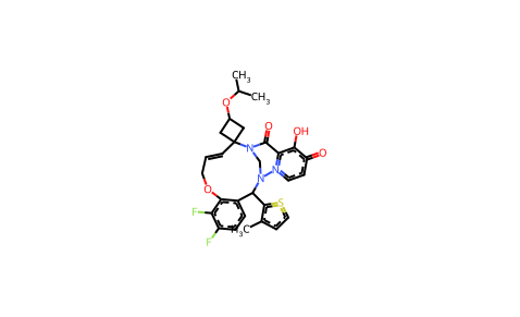 Cc1ccsc1C1c2ccc(F)c(F)c2OC/C=C/C2(CC(OC(C)C)C2)N2CN1n1ccc(=O)c(O)c1C2=O